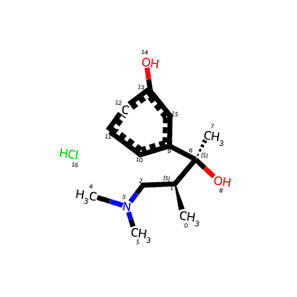 C[C@@H](CN(C)C)[C@](C)(O)c1cccc(O)c1.Cl